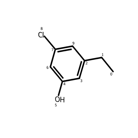 CCc1cc(O)cc(Cl)c1